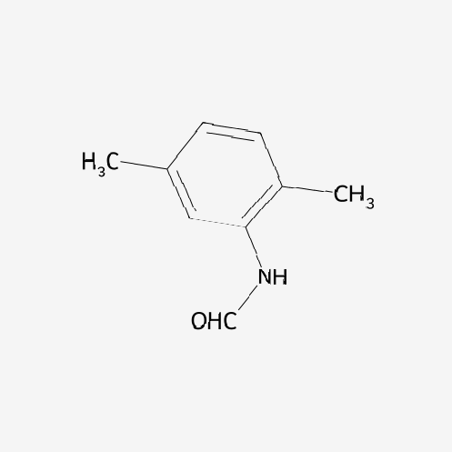 Cc1ccc(C)c(NC=O)c1